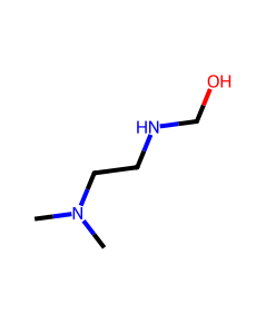 CN(C)CCNCO